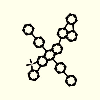 C[Si]1(C)c2ccccc2-c2cc3c(-c4ccc(-c5ccccc5)cc4)c4ccc(-c5ccc6c7c(cccc57)-c5ccccc5-6)cc4c(-c4ccc(-c5ccccc5)cc4)c3cc21